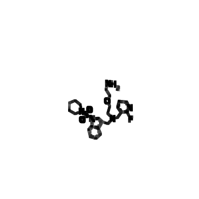 NCCOCCN(Cc1cccnc1F)Cc1cn(S(=O)(=O)N2CCCCC2)c2ccccc12